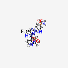 CN(C)[S+]([O-])c1ccc(Nc2ncc(C(F)(F)F)c(NCc3cccnc3N(C)S(C)(=O)=O)n2)cc1